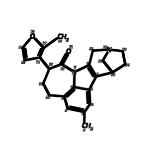 Cc1cc2c3c(c1)c1c(n3C(=O)C(c3ccoc3C)CC2)CN2CCC1C2